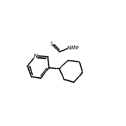 CNC=S.c1cncc(C2CCCCC2)c1